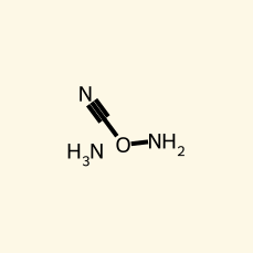 N.N#CON